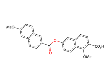 COc1ccc2cc(C(=O)Oc3ccc4c(OC)c(C(=O)O)ccc4c3)ccc2c1